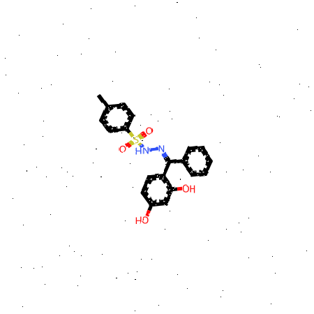 Cc1ccc(S(=O)(=O)N/N=C(/c2ccccc2)c2ccc(O)cc2O)cc1